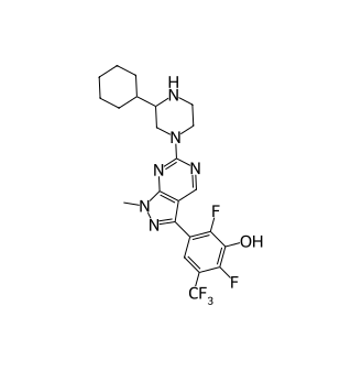 Cn1nc(-c2cc(C(F)(F)F)c(F)c(O)c2F)c2cnc(N3CCNC(C4CCCCC4)C3)nc21